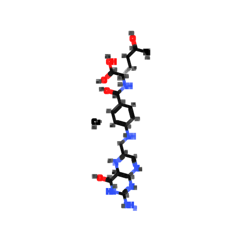 Nc1nc2ncc(CNc3ccc(C(=O)N[C@@H](CC[C](=O)[Ni])C(=O)O)cc3)nc2c(=O)[nH]1.[Cu]